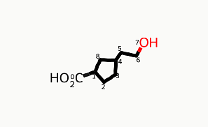 O=C(O)C1CCC(CCO)C1